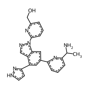 CC(N)c1cccc(-c2cc(-c3cc[nH]n3)c3cnn(-c4cccc(CO)n4)c3c2)n1